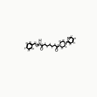 O=C(CCCCCC(=O)N1CCN(c2ccccn2)CC1)NOCc1ccccc1